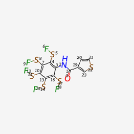 O=C(Nc1c(SF)c(SF)c(SF)c(SF)c1SF)c1ccsc1